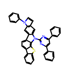 c1ccc(-c2cc(-c3ccccc3)nc(-n3c4cc5ccn(-c6ccccc6)c5cc4c4ccc5c6ccccc6sc5c43)n2)cc1